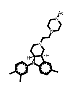 CC(=O)N1CCN(CCN2CC[C@@H]3[C@@H](C2)c2cc(C)ccc2N3c2ccc(C)c(C)c2)CC1